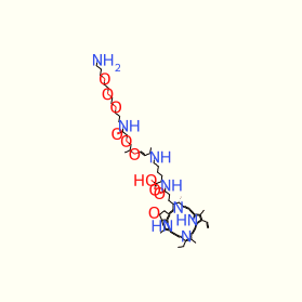 C=Cc1c(C)c2cc3nc(c4c5[nH]c(cc6nc(cc1[nH]2)C(C)=C6CC)c(C)c5C(=O)C4)C(CCC(=O)NC(CCCCNC(C)C=COC(C)COCC(=O)NCCCOCCOCCOCCCN)C(=O)O)[C@@H]3C